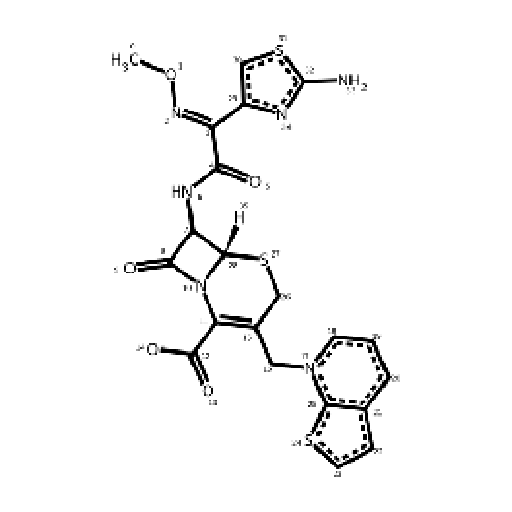 CON=C(C(=O)NC1C(=O)N2C(C(=O)[O-])=C(C[n+]3cccc4ccsc43)CS[C@@H]12)c1csc(N)n1